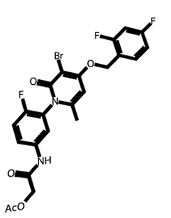 CC(=O)OCC(=O)Nc1ccc(F)c(-n2c(C)cc(OCc3ccc(F)cc3F)c(Br)c2=O)c1